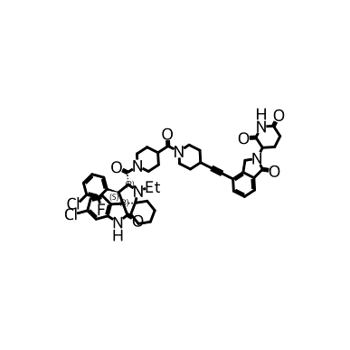 CCN1[C@@H](C(=O)N2CCC(C(=O)N3CCC(C#Cc4cccc5c4CN(C4CCC(=O)NC4=O)C5=O)CC3)CC2)[C@H](c2cccc(Cl)c2F)[C@]2(C(=O)Nc3cc(Cl)ccc32)C12CCCCC2